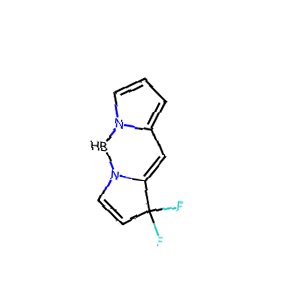 FC1(F)C=CN2Bn3cccc3C=C21